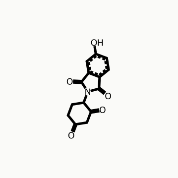 O=C1CCC(N2C(=O)c3ccc(O)cc3C2=O)C(=O)C1